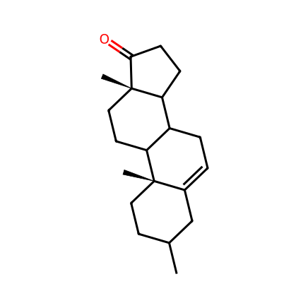 CC1CC[C@@]2(C)C(=CCC3C2CC[C@]2(C)C(=O)CCC32)C1